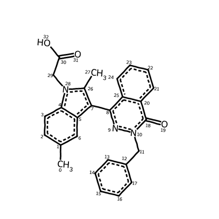 Cc1ccc2c(c1)c(-c1nn(Cc3ccccc3)c(=O)c3ccccc13)c(C)n2CC(=O)O